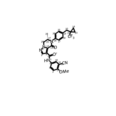 COc1ccc(NC(=O)c2cnn3c2C(=O)N(c2ccc(CC4(C(F)(F)F)CC4)cc2)[C@@H](C)C3)cc1C#N